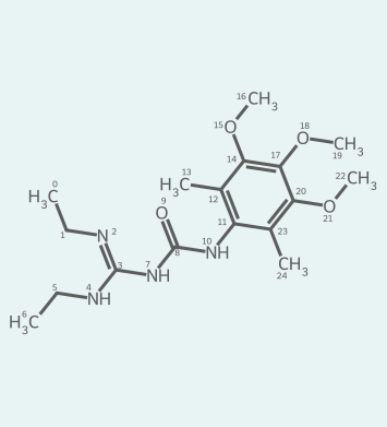 CCN=C(NCC)NC(=O)Nc1c(C)c(OC)c(OC)c(OC)c1C